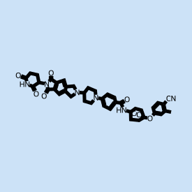 Cc1cc(OC23CCC(NC(=O)c4ccc(N5CCC(N6Cc7cc8c(cc7C6)C(=O)N(C6CCC(=O)NC6=O)C8=O)CC5)cc4)(CC2)CC3)ccc1C#N